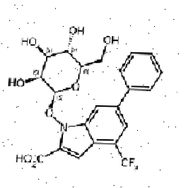 O=C(O)c1cc2c(C(F)(F)F)cc(-c3ccccc3)cc2n1O[C@@H]1O[C@H](CO)[C@@H](O)[C@H](O)[C@@H]1O